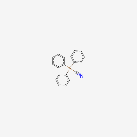 N#CS(c1ccccc1)(c1ccccc1)c1ccccc1